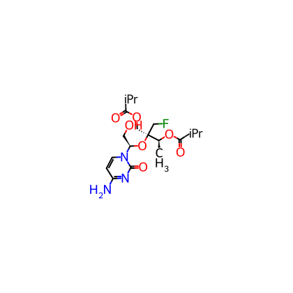 CC(C)C(=O)OC[C@@](CF)(O[C@H](CO)n1ccc(N)nc1=O)[C@H](C)OC(=O)C(C)C